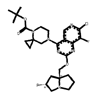 CC(C)(C)OC(=O)N1CCN(c2nc(OC[C@@]34CCCN3C[C@H](F)C4)nc3c(F)c(Cl)ncc23)CC12CC2